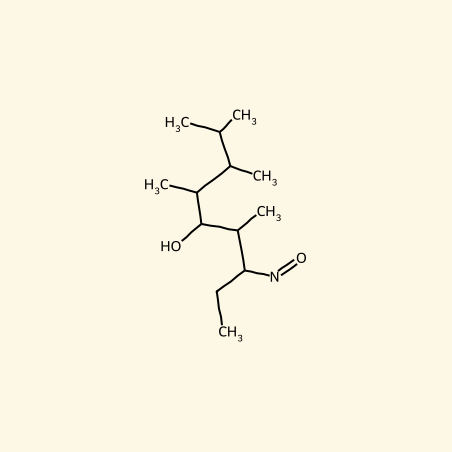 CCC(N=O)C(C)C(O)C(C)C(C)C(C)C